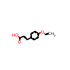 C=COc1ccc(/C=C/C(=O)O)cc1